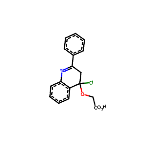 O=C(O)COC1(Cl)CC(c2ccccc2)=Nc2ccccc21